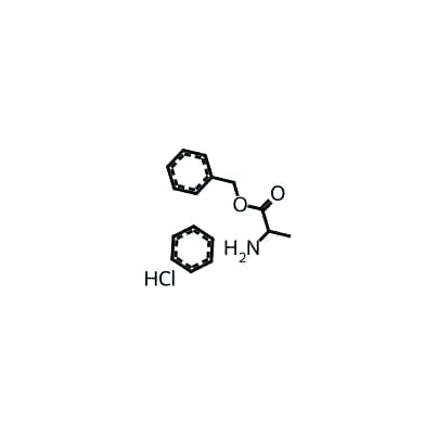 CC(N)C(=O)OCc1ccccc1.Cl.c1ccccc1